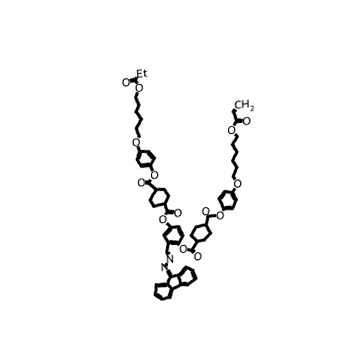 C=CC(=O)OCCCCCCOc1ccc(OC(=O)C2CCC(C(=O)Oc3ccc(OC(=O)C4CCC(C(=O)Oc5ccc(OCCCCCCOC(=O)CC)cc5)CC4)cc3/C=N/N=C3c4ccccc4-c4ccccc43)CC2)cc1